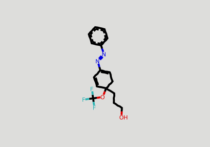 OCCCC1(OC(F)(F)F)C=CC(N=Nc2ccccc2)=CC1